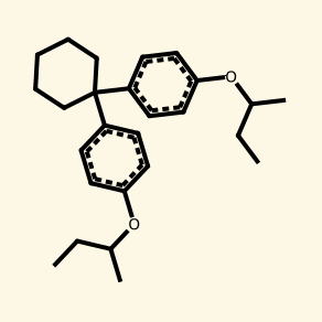 CCC(C)Oc1ccc(C2(c3ccc(OC(C)CC)cc3)CCCCC2)cc1